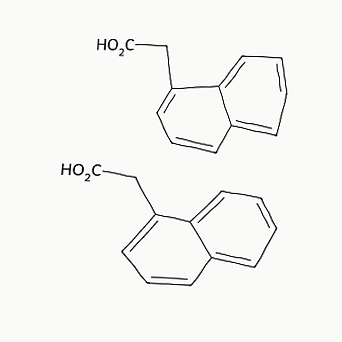 O=C(O)Cc1cccc2ccccc12.O=C(O)Cc1cccc2ccccc12